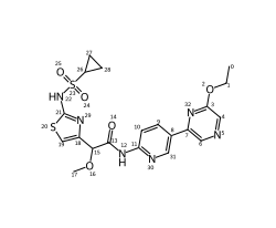 CCOc1cncc(-c2ccc(NC(=O)C(OC)c3csc(NS(=O)(=O)C4CC4)n3)nc2)n1